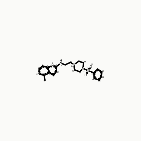 Cc1nccc2nc(NCCN3CCN(S(=O)(=O)c4ccccc4)CC3)ccc12